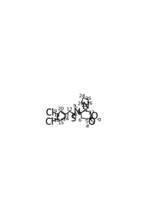 COC1(OC)CCC(N(C)C(=S)Cc2ccc(Cl)c(Cl)c2)C(N2CCCC2)C1